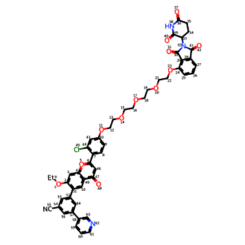 CCOc1cc2oc(-c3ccc(OCCOCCOCCOCCOc4cccc5c4C(=O)N(C4CCC(=O)NC4=O)C5=O)cc3Cl)cc(=O)c2cc1-c1cc(C#N)cc(-c2cccnc2)c1